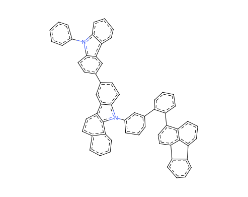 c1ccc(-n2c3ccccc3c3cc(-c4ccc5c(c4)c4ccc6ccccc6c4n5-c4cccc(-c5ccccc5-c5ccc6c7c(cccc57)-c5ccccc5-6)c4)ccc32)cc1